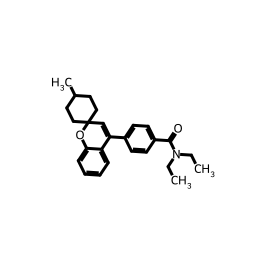 CCN(CC)C(=O)c1ccc(C2=CC3(CCC(C)CC3)Oc3ccccc32)cc1